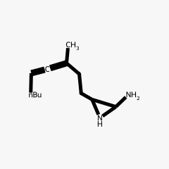 CCCCC=C=C(C)CCC1NC1N